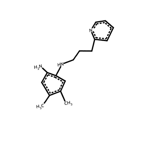 Cc1cc(N)c(NCCCc2ccccn2)cc1C